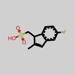 CC1=Cc2cc(F)ccc2C1CS(=O)(=O)O